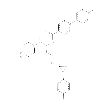 O=C(N[C@@H](CCN[C@@H]1C[C@H]1c1ccc(F)cc1)C(=O)N1CCS(=O)(=O)CC1)c1ccc(-c2ccc(F)cc2)cc1